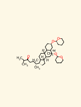 CC(C)C(=O)CC[C@@H](C)[C@H]1CC[C@H]2[C@@H]3C[C@@H](OC4CCCCO4)[C@@H]4C[C@H](OC5CCCCO5)CC[C@]4(C)[C@H]3CC[C@]12C